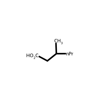 C[CH]CC(C)CC(=O)O